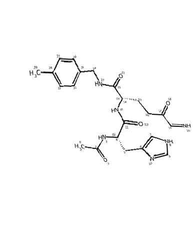 CC(=O)N[C@@H](Cc1c[nH]cn1)C(=O)N[C@@H](CCC(=O)C=N)C(=O)NCc1ccc(C)cc1